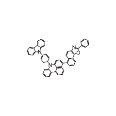 C1=CC(N(c2ccc(-c3cccc4c3ccc3nc(-c5ccccc5)oc34)cc2)c2ccccc2-c2ccccc2)CC=C1n1c2ccccc2c2ccccc21